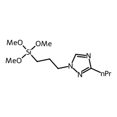 CCCc1ncn(CCC[Si](OC)(OC)OC)n1